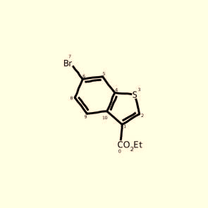 CCOC(=O)c1csc2cc(Br)ccc12